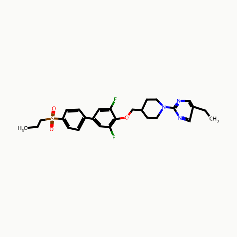 CCCS(=O)(=O)c1ccc(-c2cc(F)c(OCC3CCN(c4ncc(CC)cn4)CC3)c(F)c2)cc1